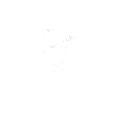 Cc1ccc(C(=O)Nc2ccc3c(S(=O)(=O)[O-])cccc3c2S(=O)(=O)[O-])cc1[N+](=O)[O-].[Na+].[Na+]